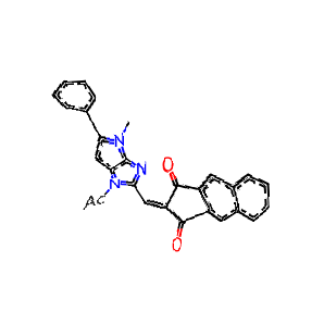 CC(=O)n1c(C=C2C(=O)c3cc4ccccc4cc3C2=O)nc2c1cc(-c1ccccc1)n2C